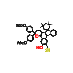 COc1ccc(C2(c3ccc(OC)cc3)C=Cc3c4c(c5cc(CS)c(O)cc5c3O2)-c2ccccc2C42CC(C)(C)CC(C)(C)C2)cc1